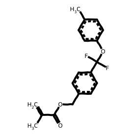 C=C(C)C(=O)OCc1ccc(C(F)(F)Oc2ccc(C)cc2)cc1